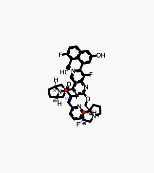 C#Cc1c(F)ccc2cc(O)cc(-c3ncc4c(N5C[C@H]6CC[C@@H](C5)N6C(=O)/C(F)=C/c5cccc(C)n5)nc(OC[C@@]56CCCN5C[C@H](F)C6)nc4c3F)c12